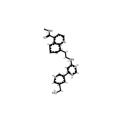 CNC(=O)c1ccnc2c(CCNc3cc(-c4cncc(CO)c4)ncn3)cccc12